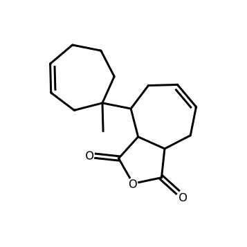 CC1(C2CC=CCC3C(=O)OC(=O)C32)CC=CCCC1